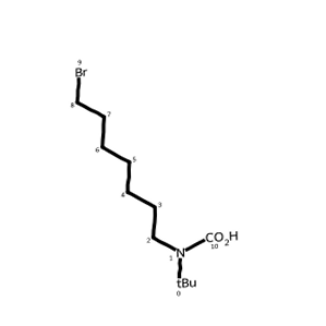 CC(C)(C)N(CCCCCCCBr)C(=O)O